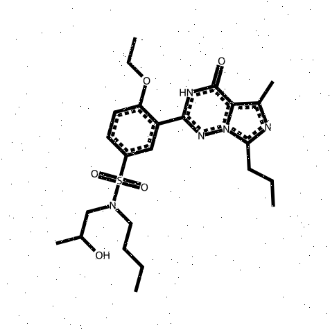 CCCCN(CC(C)O)S(=O)(=O)c1ccc(OCC)c(-c2nn3c(CCC)nc(C)c3c(=O)[nH]2)c1